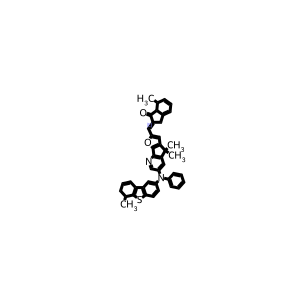 CC1CC=Cc2c1sc1ccc(N(c3ccccc3)c3cnc4c(c3)C(C)(C)c3cc(/C=C5\CC6=CC=CC(C)C6C5=O)oc3-4)cc21